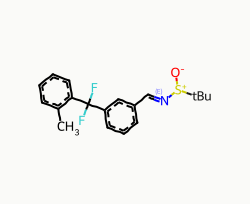 Cc1ccccc1C(F)(F)c1cccc(/C=N/[S+]([O-])C(C)(C)C)c1